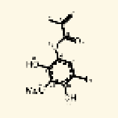 C=C(C)C(=O)Oc1cc(I)c(O)c(OC)c1O